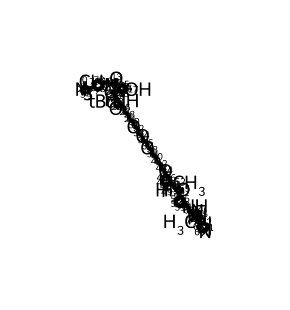 Cc1ncsc1-c1ccc(CNC(=O)[C@@H]2C[C@@H](O)CN2C(=O)[C@@H](NC(=O)CCCCCOCCOCCOCCCCCCOc2ccc(F)c([C@H](C)NC(=O)c3cccc(NCc4nnc(-c5ccncn5)n4C)c3)c2)C(C)(C)C)cc1